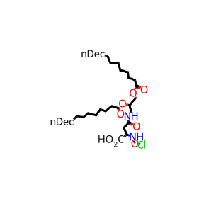 CCCCCCCCCCCCCCCCCC(=O)OCC(CNC(=O)CC(NOCl)C(=O)O)OC(=O)CCCCCCCCCCCCCCCCC